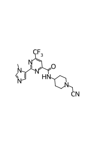 Cn1cncc1-c1nc(C(=O)NC2CCN(CC#N)CC2)cc(C(F)(F)F)n1